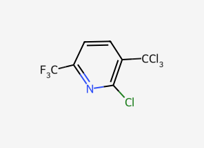 FC(F)(F)c1ccc(C(Cl)(Cl)Cl)c(Cl)n1